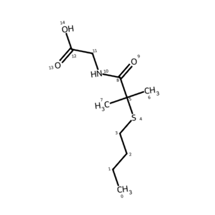 CCCCSC(C)(C)C(=O)NCC(=O)O